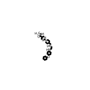 CNC(=O)c1cnc(N2CCC(CN/C=C\Nc3ccc(Oc4ccccc4)cc3)CC2)nc1